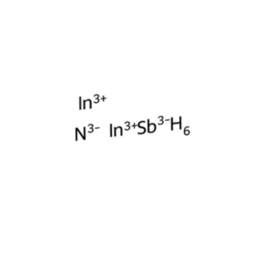 [In+3].[In+3].[N-3].[SbH6-3]